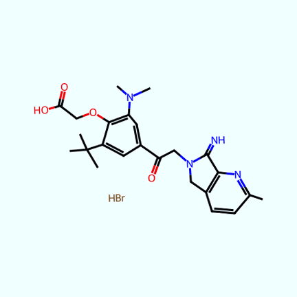 Br.Cc1ccc2c(n1)C(=N)N(CC(=O)c1cc(N(C)C)c(OCC(=O)O)c(C(C)(C)C)c1)C2